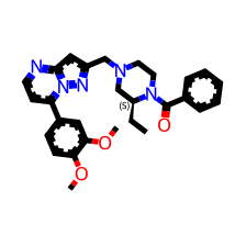 CC[C@H]1CN(Cc2cc3nccc(-c4ccc(OC)c(OC)c4)n3n2)CCN1C(=O)c1ccccc1